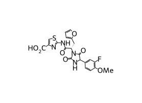 COc1ccc(C2NC(=O)N([C@@H](Cc3ccco3)C(=O)Nc3nc(C(=O)O)cs3)C2=O)cc1F